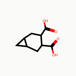 O=C(O)C1CC2CC2CC1C(=O)O